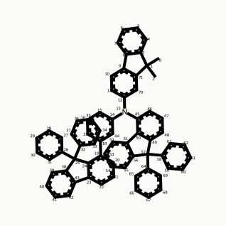 CC1(C)c2ccccc2-c2ccc(N(c3cccc(-c4cccc5c4C(c4ccccc4)(c4ccccc4)c4ccccc4-5)c3)c3cccc4c3-c3ccccc3C4(c3ccccc3)c3ccccc3)cc21